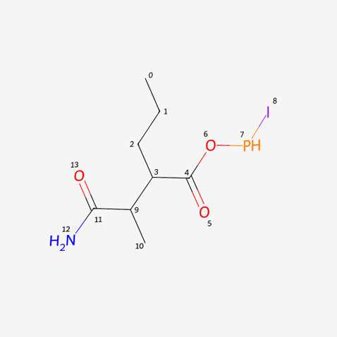 CCCC(C(=O)OPI)C(C)C(N)=O